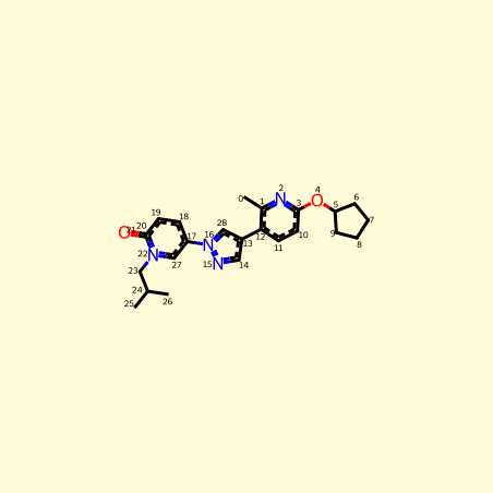 Cc1nc(OC2CCCC2)ccc1-c1cnn(-c2ccc(=O)n(CC(C)C)c2)c1